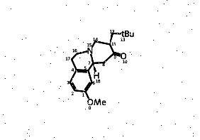 COc1ccc2c(c1)[C@H]1CC(=O)[C@H](CC(C)(C)C)CN1CC2